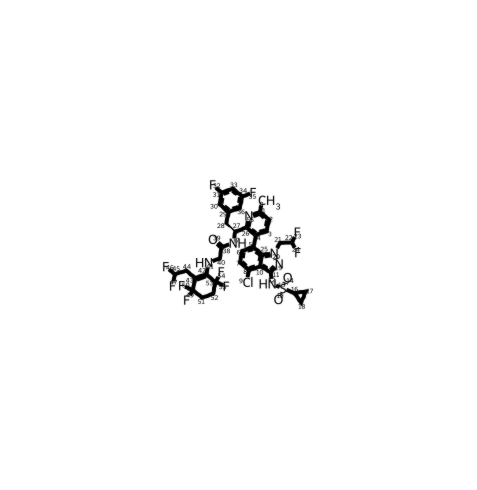 Cc1ccc(-c2ccc(Cl)c3c(NS(=O)(=O)C4CC4)nn(CC(F)F)c23)c([C@H](Cc2cc(F)cc(F)c2)NC(=O)CNC2=C(CC(F)F)C(F)(F)CCC2(F)F)n1